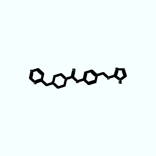 O=C(Oc1ccc(CSc2ncc[nH]2)cc1)N1CCN(Cc2ccncn2)CC1